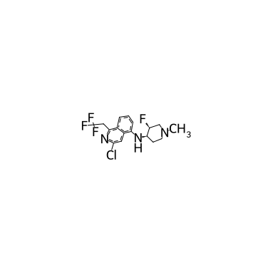 CN1CC[C@@H](Nc2cccc3c(CC(F)(F)F)nc(Cl)cc23)[C@@H](F)C1